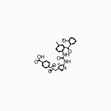 COc1ccccc1C(=O)c1cc(C)ccc1NC(=O)Nc1ncc(CS(=O)(=O)c2ccc(C(=O)O)cc2)s1